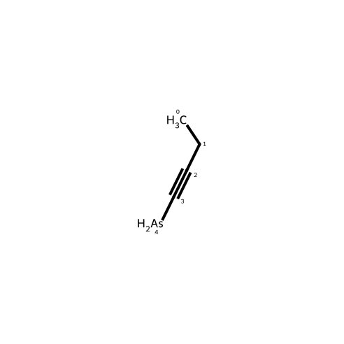 CCC#C[AsH2]